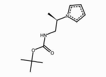 C[C@H](CNC(=O)OC(C)(C)C)n1cccc1